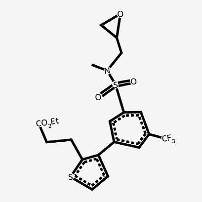 CCOC(=O)CCc1sccc1-c1cc(C(F)(F)F)cc(S(=O)(=O)N(C)CC2CO2)c1